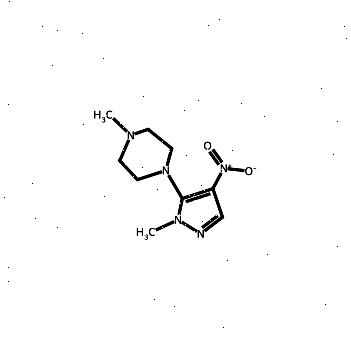 CN1CCN(c2c([N+](=O)[O-])cnn2C)CC1